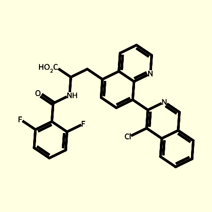 O=C(NC(Cc1ccc(-c2ncc3ccccc3c2Cl)c2ncccc12)C(=O)O)c1c(F)cccc1F